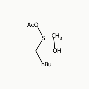 CCCCCSOC(C)=O.CO